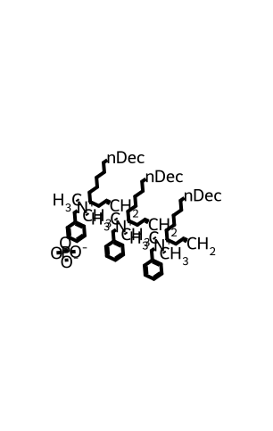 C=CCC(CCCCCCCCCCCCCCC)[N+](C)(C)Cc1ccccc1.C=CCC(CCCCCCCCCCCCCCC)[N+](C)(C)Cc1ccccc1.C=CCC(CCCCCCCCCCCCCCC)[N+](C)(C)Cc1ccccc1.O=P([O-])([O-])[O-]